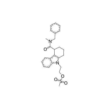 CN(Cc1ccccc1)C(=O)C1CCCc2c1c1ccccc1n2CCOS(C)(=O)=O